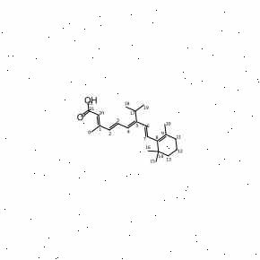 CC(C=CC=C(C=CC1=C(C)CCCC1(C)C)C(C)C)=CC(=O)O